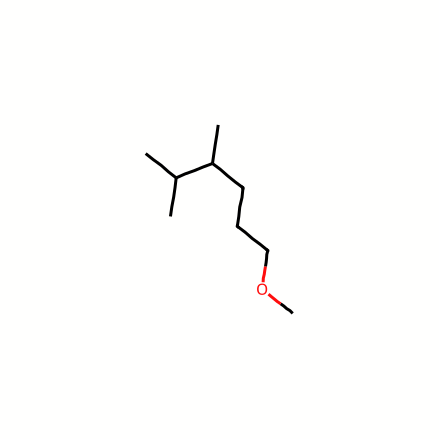 COCCCC(C)C(C)C